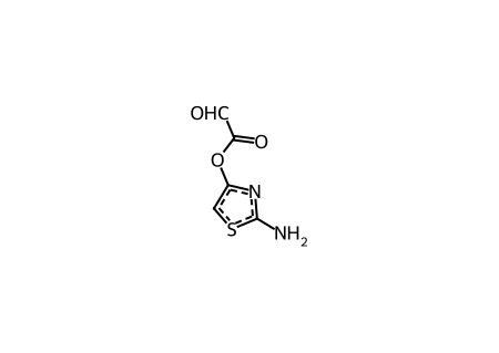 Nc1nc(OC(=O)C=O)cs1